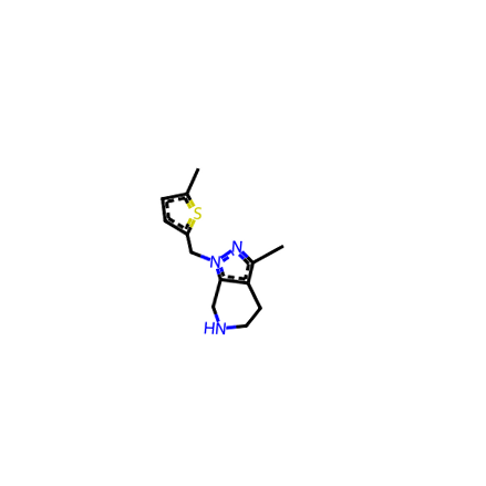 Cc1ccc(Cn2nc(C)c3c2CNCC3)s1